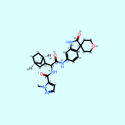 Cn1nccc1C(=O)NC(C(=O)Nc1ccc2c(c1)NC(=O)C21CCOCC1)C1C[C@H]2CC[C@@H]1C2